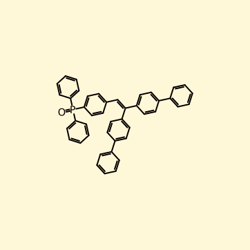 O=P(c1ccccc1)(c1ccccc1)c1ccc(C=C(c2ccc(-c3ccccc3)cc2)c2ccc(-c3ccccc3)cc2)cc1